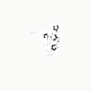 O=C(O)c1cnn(-c2nc(N[C@@H]3CCOC3)c3ncn([C@@H]4O[C@H](CO)[C@@H](O)[C@H]4O)c3n2)c1